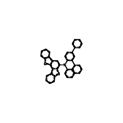 c1ccc(-c2ccc(N(c3ccccc3)c3cc4c5ccccc5oc4c4c3sc3ccccc34)c(-c3ccccc3)c2)cc1